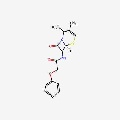 CC1=CS[C@H]2C(NC(=O)COc3ccccc3)C(=O)N2C1C(=O)O